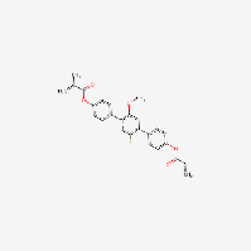 C=CC(=O)Oc1ccc(-c2cc(OC)c(-c3ccc(OC(=O)C(=C)C)cc3)cc2F)cc1